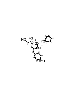 C[C@H](CO)OCC(Cc1ccc(O)cc1)NC(=O)CCc1ccccc1